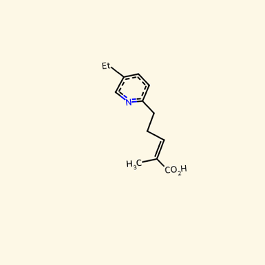 CCc1ccc(CCC=C(C)C(=O)O)nc1